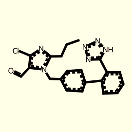 CCCc1nc(Cl)c(C=O)n1Cc1ccc(-c2ccccc2-c2nnn[nH]2)cc1